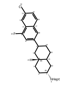 CCCCCCC[C@@H]1CC[C@@H]2CC(c3cc(F)c4cc(Cl)ccc4c3)CCC2C1